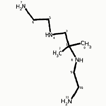 CC(C)(CNCCN)NCCN